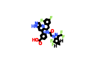 O=C(Cn1nc(C(F)F)c2c1C(F)(F)[C@@H]1C[C@H]21)NC(Cc1cc(F)cc(F)c1)c1nc2cn[nH]c2cc1-c1cccc(C(=O)O)c1